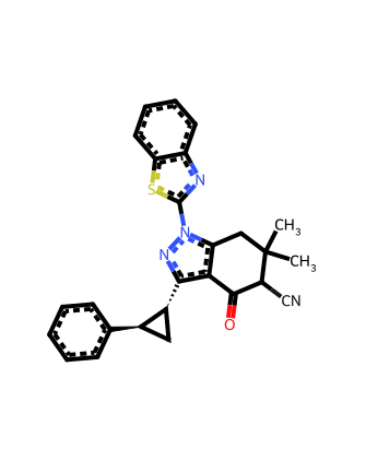 CC1(C)Cc2c(c([C@@H]3C[C@H]3c3ccccc3)nn2-c2nc3ccccc3s2)C(=O)C1C#N